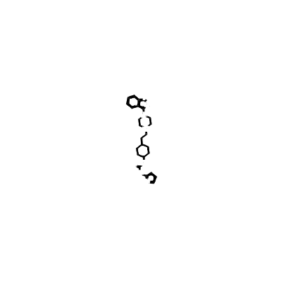 CN(C(=O)NC1CCC(CCN2CCN(c3nsc4ccccc34)CC2)CC1)c1cccs1